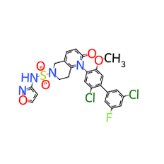 COc1cc(-c2cc(F)cc(Cl)c2)c(Cl)cc1-n1c2c(ccc1=O)CN(S(=O)(=O)Nc1ccon1)CC2